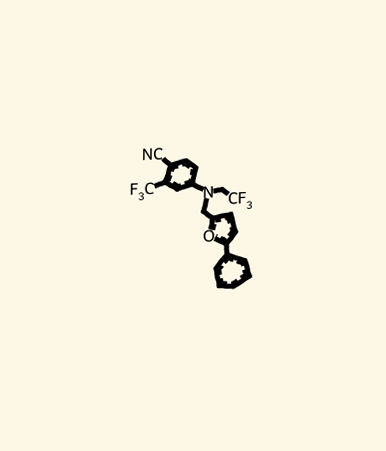 N#Cc1ccc(N(Cc2ccc(-c3ccccc3)o2)CC(F)(F)F)cc1C(F)(F)F